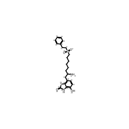 NC(CCCCCCS(=O)(=O)CCc1ccccc1)Cc1ccc(O)c2[nH]c(=O)sc12